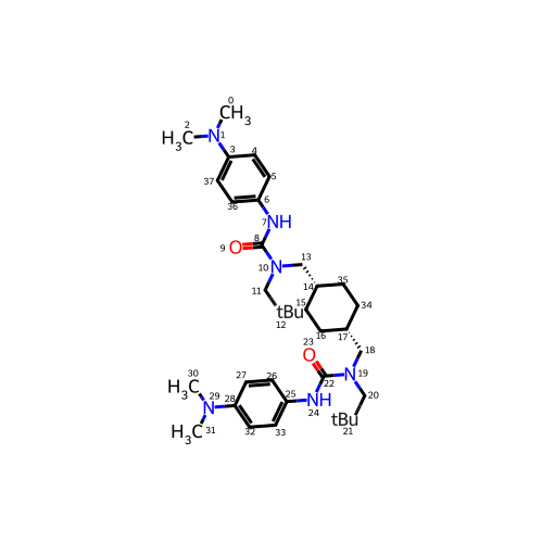 CN(C)c1ccc(NC(=O)N(CC(C)(C)C)C[C@H]2CC[C@@H](CN(CC(C)(C)C)C(=O)Nc3ccc(N(C)C)cc3)CC2)cc1